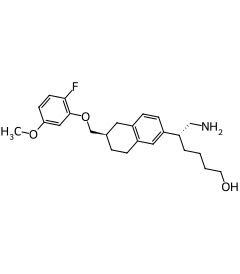 COc1ccc(F)c(OC[C@@H]2CCc3cc([C@H](CN)CCCCO)ccc3C2)c1